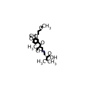 COCCCOc1cc(C(=O)C(C/C=C/C[C@H](C(=O)O)C(C)C)C(C)C)ccc1OC